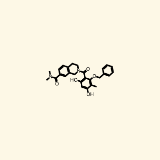 Cc1c(O)cc(O)c(C(=O)N2CCc3ccc(C(=O)N(C)C)cc3C2)c1OCc1ccccc1